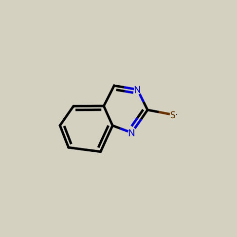 [S]c1ncc2ccccc2n1